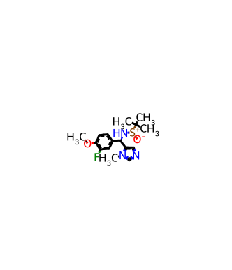 COc1ccc([C@@H](N[S+]([O-])C(C)(C)C)c2cncn2C)cc1F